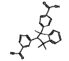 CC1(C)c2ccccc2C(C)(c2ccc(C(=O)O)cc2)C1c1cccc(C(=O)O)c1